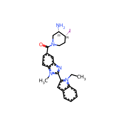 CCn1c(-c2nc3cc(C(=O)N4CC[C@@H](I)[C@@H](N)C4)ccc3n2C)cc2ccccc21